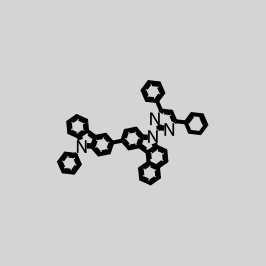 C1=CCCC(c2cc(-c3ccccc3)nc(-n3c4ccc(-c5ccc6c(c5)c5ccccc5n6-c5ccccc5)cc4c4c5ccccc5ccc43)n2)=C1